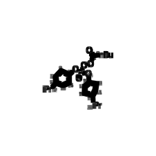 CCCCC(=O)OOP(=O)(Oc1ccc(C(C)C)cc1)Oc1ccc(C(C)C)cc1